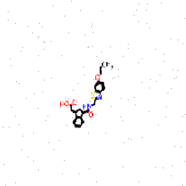 CCCOc1ccc2nc(CNC(=O)C3CC(CC(=O)O)c4ccccc43)sc2c1